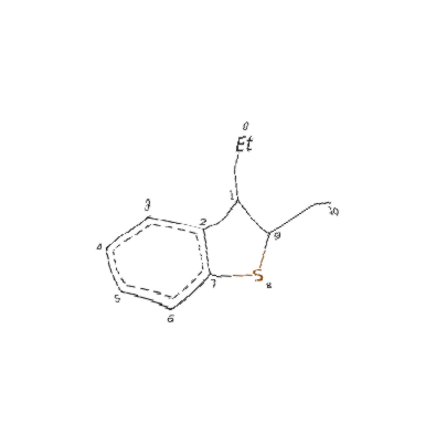 CCC1c2ccccc2SC1C